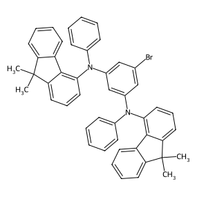 CC1(C)c2ccccc2-c2c(N(c3ccccc3)c3cc(Br)cc(N(c4ccccc4)c4cccc5c4-c4ccccc4C5(C)C)c3)cccc21